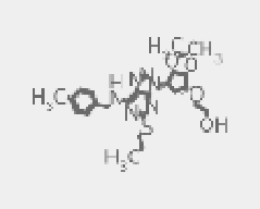 CCCSc1nc(NCc2ccc(C)cc2)c2nnn([C@@H]3C[C@@H](OCCO)C4OC(C)(C)OC43)c2n1